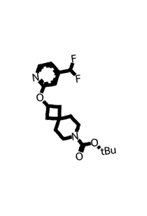 CC(C)(C)OC(=O)N1CCC2(CC1)CC(Oc1cc(C(F)F)ccn1)C2